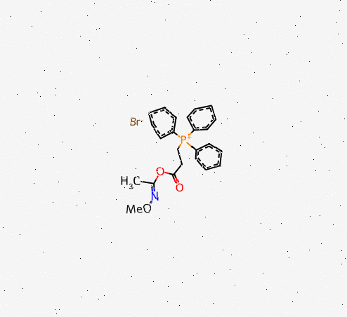 CON=C(C)OC(=O)CC[P+](c1ccccc1)(c1ccccc1)c1ccccc1.[Br-]